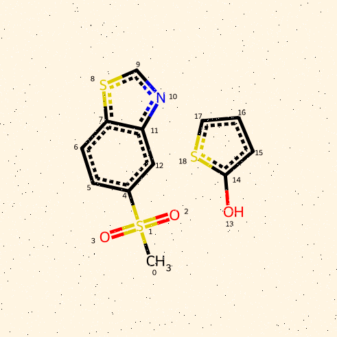 CS(=O)(=O)c1ccc2scnc2c1.Oc1cccs1